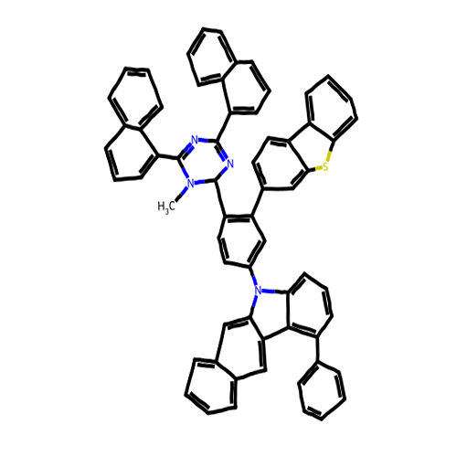 CN1C(c2cccc3ccccc23)=NC(c2cccc3ccccc23)=NC1c1ccc(-n2c3cc4ccccc4cc3c3c(-c4ccccc4)cccc32)cc1-c1ccc2c(c1)sc1ccccc12